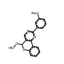 CCCCOC1Oc2ccccc2-c2nc(-c3cccc(OC)c3)ncc21